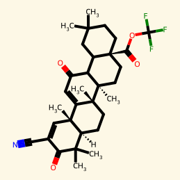 CC1(C)CC[C@]2(C(=O)OC(F)(F)F)CC[C@]3(C)C(C(=O)C=C4[C@@]5(C)C=C(C#N)C(=O)C(C)(C)[C@@H]5CC[C@]43C)C2C1